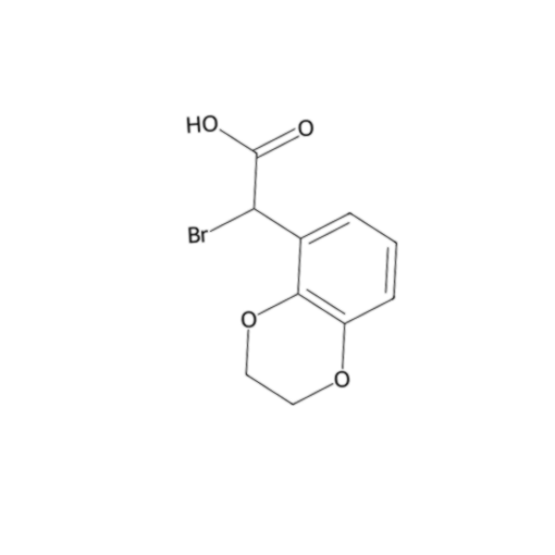 O=C(O)C(Br)c1cccc2c1OCCO2